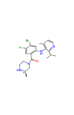 Cc1ccnc(C(C)C)c1Nc1cc(Br)c(F)cc1C(=O)N1CCN[C@H](C)C1